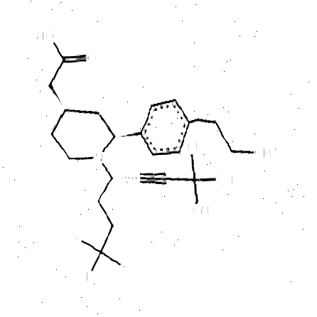 CCCc1ccc([C@@H]2C[C@H](CC(=O)O)CCN2[C@H](C#CC(C)(C)C)CCC(F)(F)F)cc1